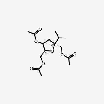 CC(=O)OC[C@@H]1O[C@](COC(C)=O)(C(C)C)CC1OC(C)=O